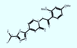 COc1ccc(C(=O)Cn2ccc(-c3nnc(C(F)F)o3)cc2=O)c(OC)c1